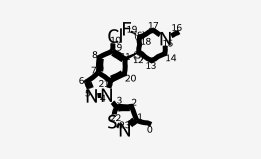 Cc1cc(-n2ncc3cc(Cl)c([C@@H]4CCN(C)C[C@H]4F)cc32)sn1